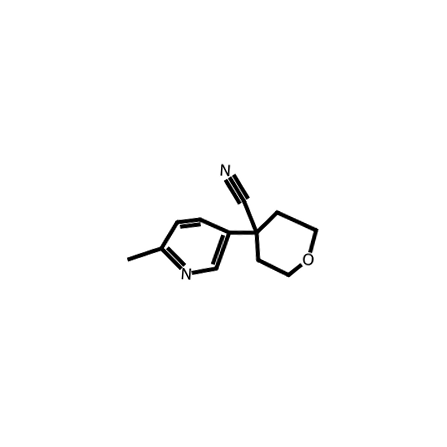 Cc1ccc(C2(C#N)CCOCC2)cn1